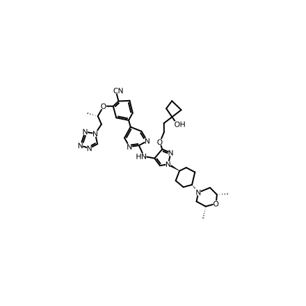 C[C@@H]1CN([C@H]2CC[C@H](n3cc(Nc4ncc(-c5ccc(C#N)c(O[C@@H](C)Cn6cnnn6)c5)cn4)c(OCCC4(O)CCC4)n3)CC2)C[C@H](C)O1